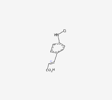 O=C(O)/C=C/c1ccc(NCl)cc1